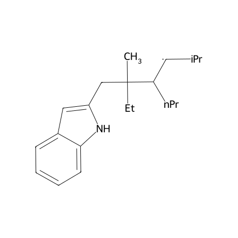 CCCC([CH]C(C)C)C(C)(CC)Cc1cc2ccccc2[nH]1